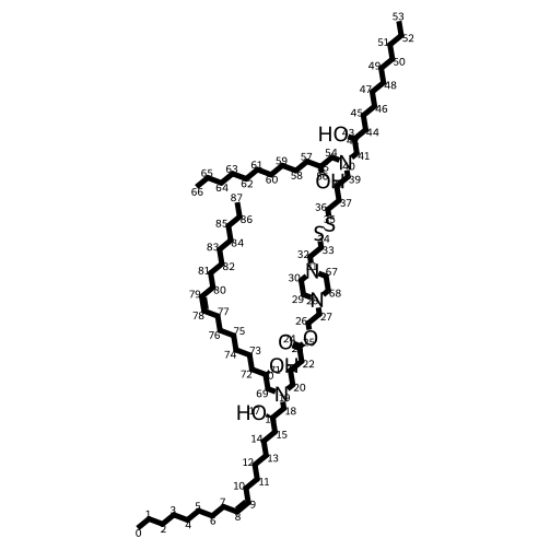 CCCCCCCC/C=C\CCCCCC[C@@H](O)CN(CCCC(=O)OCCN1CCN(CCSSCCCCN(CC(O)CCCCCCCCCC)CC(O)CCCCCCCCCC)CC1)C[C@H](O)CCCCCC/C=C\CCCCCCCC